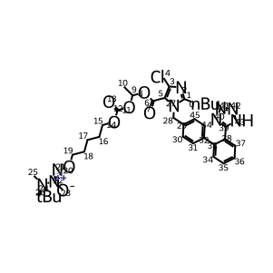 CCCCc1nc(Cl)c(C(=O)OC(C)OC(=O)OCCCCCO/N=[N+](\[O-])N(C)C(C)(C)C)n1Cc1ccc(-c2ccccc2-c2nnn[nH]2)cc1